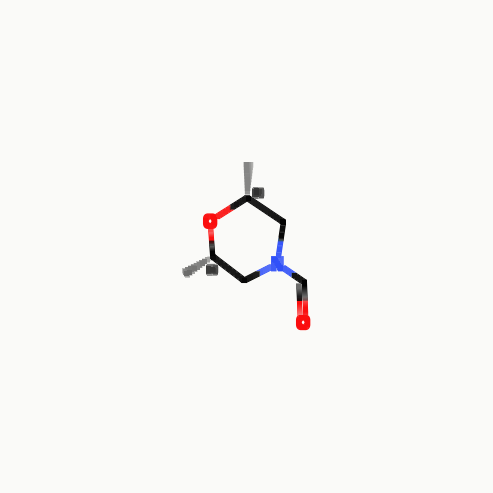 C[C@@H]1CN(C=O)C[C@H](C)O1